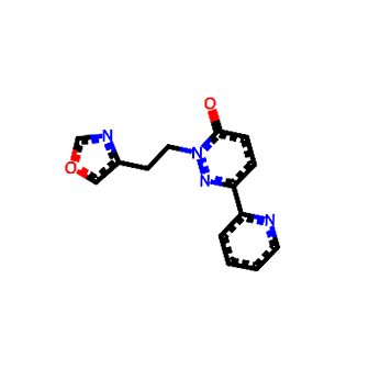 O=c1ccc(-c2ccccn2)nn1CCc1cocn1